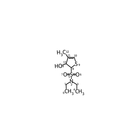 CCN(CC)S(=O)(=O)C1SC=C(C)C1O